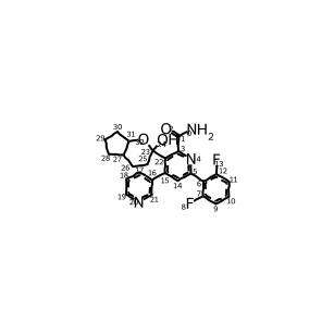 NC(=O)c1nc(-c2c(F)cccc2F)cc(-c2cccnc2)c1C1(O)CCC2CCCC2O1